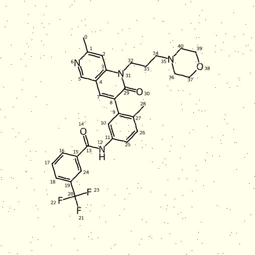 Cc1cc2c(cn1)cc(-c1cc(NC(=O)c3cccc(C(F)(F)F)c3)ccc1C)c(=O)n2CCCN1CCOCC1